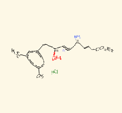 CCOC(=O)CC[C@@H](N)/C=C/[C@@H](O)Cc1cc(C)cc(C)c1.Cl